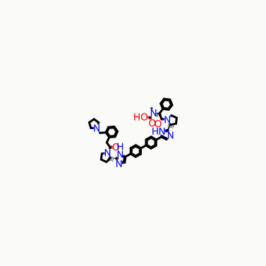 CN(C(=O)O)[C@@H](C(=O)N1CCC[C@H]1c1ncc(-c2ccc(-c3ccc(-c4cnc([C@@H]5CCCN5C(=O)Cc5ccccc5CN5CCCC5)[nH]4)cc3)cc2)[nH]1)c1ccccc1